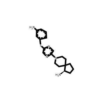 Nc1cccc(Sc2cnc(N3CCC4(CCC[C@H]4N)CC3)cn2)c1